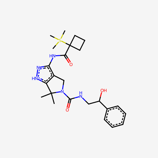 CC1(C)c2[nH]nc(NC(=O)C3(S(C)(C)C)CCC3)c2CN1C(=O)NCC(O)c1ccccc1